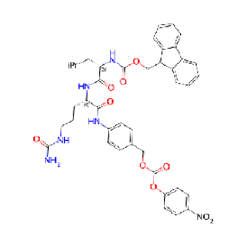 CC(C)C[C@H](NC(=O)OCC1c2ccccc2-c2ccccc21)C(=O)N[C@@H](CCCNC(N)=O)C(=O)Nc1ccc(COC(=O)Oc2ccc([N+](=O)[O-])cc2)cc1